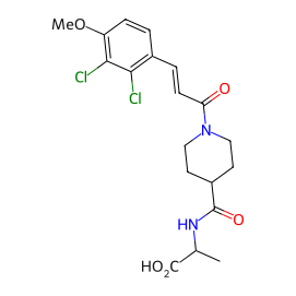 COc1ccc(/C=C/C(=O)N2CCC(C(=O)NC(C)C(=O)O)CC2)c(Cl)c1Cl